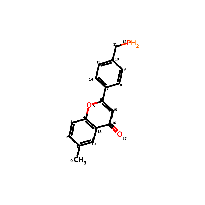 Cc1ccc2oc(-c3ccc(CP)cc3)cc(=O)c2c1